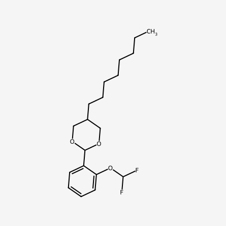 CCCCCCCCC1COC(c2ccccc2OC(F)F)OC1